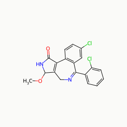 COC1NC(=O)C2=C1CN=C(c1ccccc1Cl)c1cc(Cl)ccc12